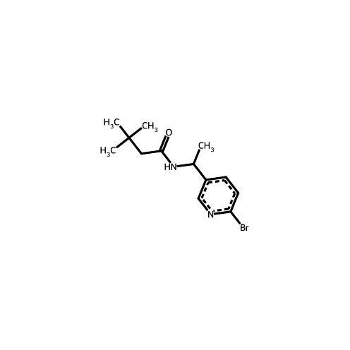 CC(NC(=O)CC(C)(C)C)c1ccc(Br)nc1